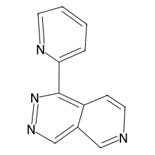 c1ccc(-c2nncc3cnccc23)nc1